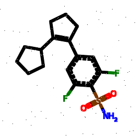 NS(=O)(=O)c1c(F)cc(C2=C(C3CCCC3)CCC2)cc1F